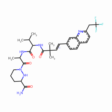 CC(NC(=O)C(NC(=O)C(C)(C)/C=C/c1ccc2ccc(CC(F)(F)F)nc2c1)C(C)C)C(=O)N1CCCC(C(N)=O)N1